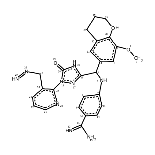 COc1cc(C(Nc2ccc(C(=N)N)cc2)c2nn(-c3ncccc3CN=N)c(=O)[nH]2)cc2c1OCCC2